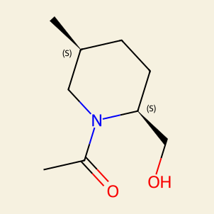 CC(=O)N1C[C@@H](C)CC[C@H]1CO